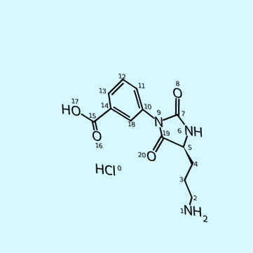 Cl.NCCC[C@@H]1NC(=O)N(c2cccc(C(=O)O)c2)C1=O